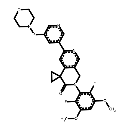 COc1cc(OC)c(F)c(N2Cc3cnc(-c4cncc(SN5CCOCC5)c4)cc3C3(CC3)C2=O)c1F